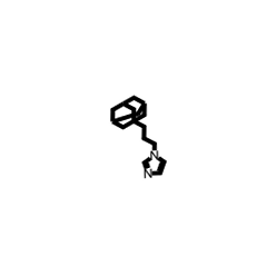 c1cn(CCCC23CC4CC(CC(C4)C2)C3)cn1